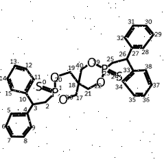 S=P1(CC(c2ccccc2)c2ccccc2)OCC2(CO1)COP(=S)(CC(c1ccccc1)c1ccccc1)OC2